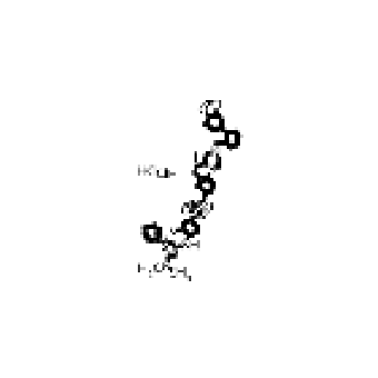 CN(C)CC[C@H](CSc1ccccc1)Nc1ccc(S(=O)(=O)NC(=O)c2ccc3c(c2)CC[C@@H]2CN(Cc4ccccc4-c4ccc5c(c4)OCO5)CCN32)cc1[N+](=O)[O-].Cl.Cl